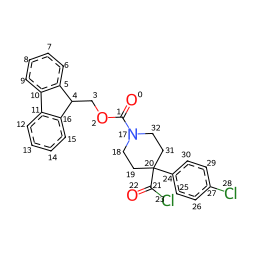 O=C(OCC1c2ccccc2-c2ccccc21)N1CCC(C(=O)Cl)(c2ccc(Cl)cc2)CC1